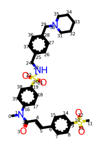 CN(C(=O)C=Cc1ccc(S(C)(=O)=O)cc1)c1ccc(S(=O)(=O)NCc2ccc(CN3CCCCC3)cc2)cc1